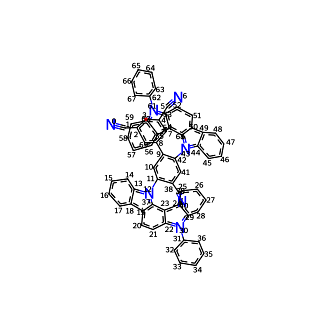 N#Cc1cc(C#N)cc(-c2cc(-n3c4ccccc4c4ccc5c(c6ccccc6n5-c5ccccc5)c43)c(C#N)cc2-n2c3ccccc3c3ccc4c(c5ccccc5n4-c4ccccc4)c32)c1